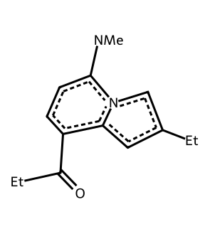 CCC(=O)c1ccc(NC)n2cc(CC)cc12